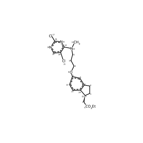 CCOC(=O)C[C@@H]1CCc2cc(OCCCN(C)c3nc(Cl)ncc3Cl)ccc21